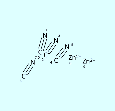 [C-]#N.[C-]#N.[C-]#N.[C-]#N.[Zn+2].[Zn+2]